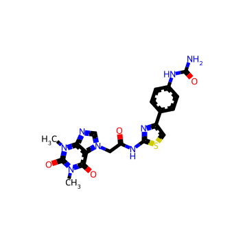 Cn1c(=O)c2c(ncn2CC(=O)Nc2nc(-c3ccc(NC(N)=O)cc3)cs2)n(C)c1=O